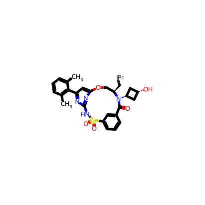 Cc1cccc(C)c1-c1cc2nc(n1)NS(=O)(=O)c1cccc(c1)C(=O)N([C@H]1C[C@@H](O)C1)[C@H](CC(C)C)CO2